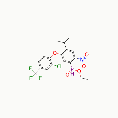 CCO[PH](=O)c1cc(Oc2ccc(C(F)(F)F)cc2Cl)c(C(C)C)cc1[N+](=O)[O-]